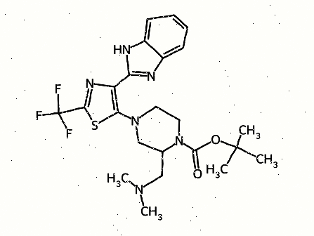 CN(C)CC1CN(c2sc(C(F)(F)F)nc2-c2nc3ccccc3[nH]2)CCN1C(=O)OC(C)(C)C